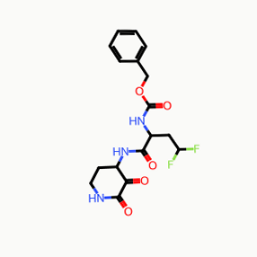 O=C(NC(CC(F)F)C(=O)NC1CCNC(=O)C1=O)OCc1ccccc1